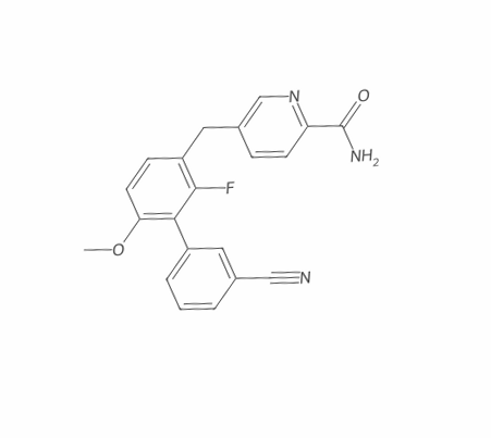 COc1ccc(Cc2ccc(C(N)=O)nc2)c(F)c1-c1cccc(C#N)c1